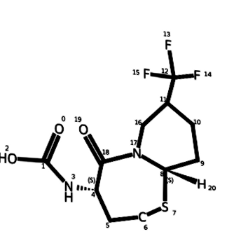 O=C(O)N[C@H]1CCS[C@H]2CCC(C(F)(F)F)CN2C1=O